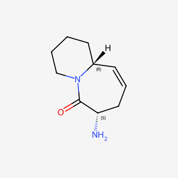 N[C@H]1CC=C[C@H]2CCCCN2C1=O